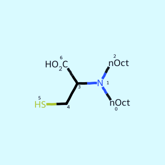 CCCCCCCCN(CCCCCCCC)C(CS)C(=O)O